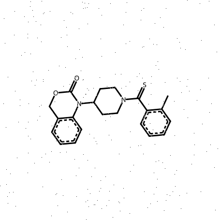 Cc1ccccc1C(=S)N1CCC(N2C(=O)OCc3ccccc32)CC1